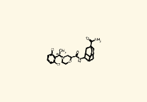 C[C@H](c1c(Cl)cccc1Cl)N1CCOC(C(=O)NC2C3CC4CC2CC(C(N)=O)(C4)C3)C1